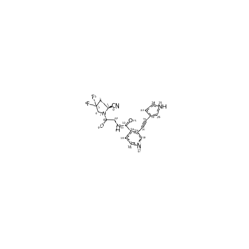 N#C[C@@H]1CC(F)(F)CN1C(=O)CNC(=O)c1ccncc1C#Cc1cc[nH]c1